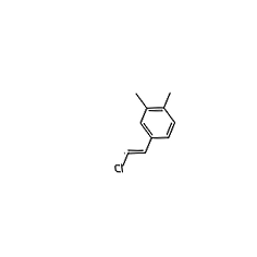 Cc1ccc(C=[C]Cl)cc1C